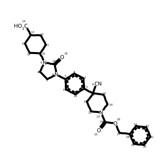 N#CC1(c2ccc(N3CCN(C4CCC(C(=O)O)CC4)C3=O)cc2)CCN(C(=O)OCc2ccccc2)CC1